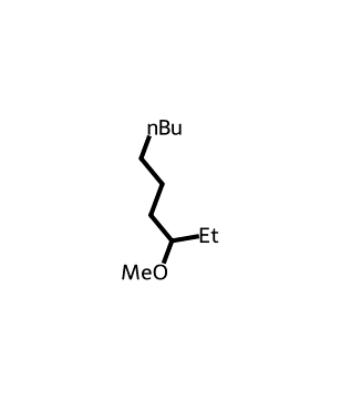 [CH2]OC(CC)CCCCCCC